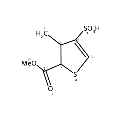 COC(=O)C1SC=C(S(=O)(=O)O)C1C